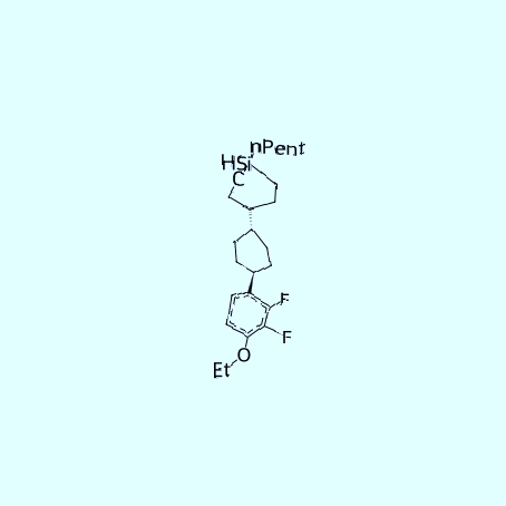 CCCCC[SiH]1CCC([C@H]2CC[C@H](c3ccc(OCC)c(F)c3F)CC2)CC1